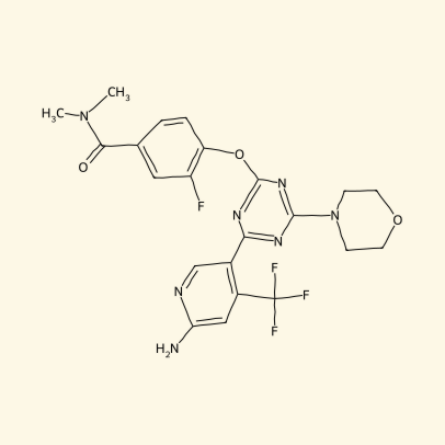 CN(C)C(=O)c1ccc(Oc2nc(-c3cnc(N)cc3C(F)(F)F)nc(N3CCOCC3)n2)c(F)c1